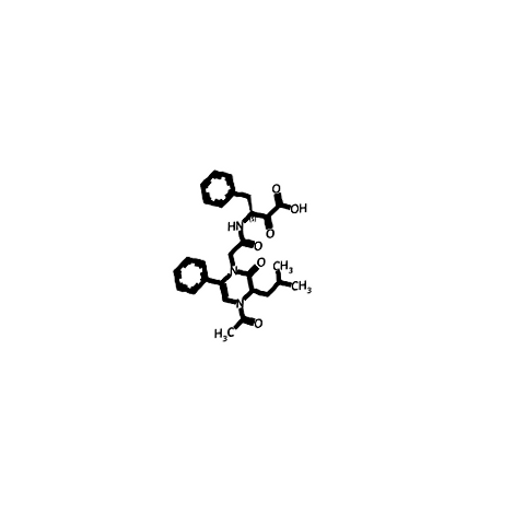 CC(=O)N1C=C(c2ccccc2)N(CC(=O)N[C@@H](Cc2ccccc2)C(=O)C(=O)O)C(=O)C1CC(C)C